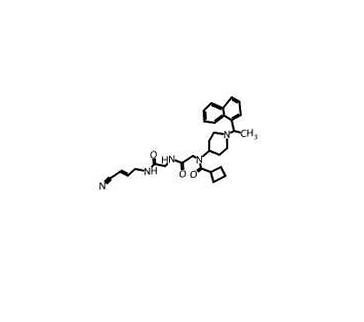 CC(c1cccc2ccccc12)N1CCC(N(CC(=O)NCC(=O)NCC=CC#N)C(=O)C2CCC2)CC1